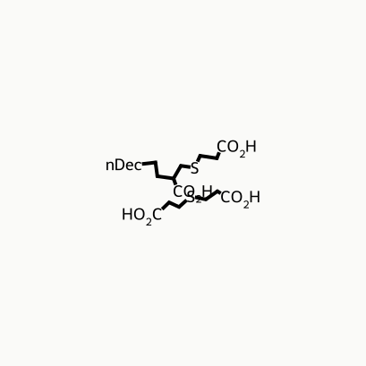 CCCCCCCCCCCCC(CSCCC(=O)O)C(=O)O.O=C(O)CCSCCC(=O)O